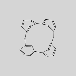 c1cc2cc(c1)-c1cccc(n1)Cc1cccc(c1)-c1cccc(n1)C2